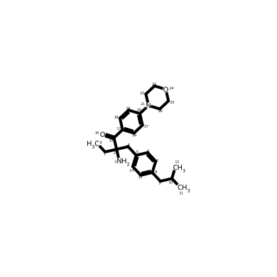 CCC(N)(Cc1ccc(CC(C)C)cc1)C(=O)c1ccc(N2CCOCC2)cc1